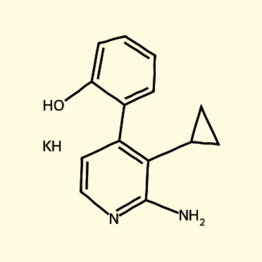 Nc1nccc(-c2ccccc2O)c1C1CC1.[KH]